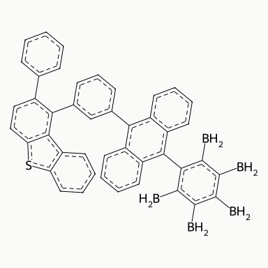 Bc1c(B)c(B)c(-c2c3ccccc3c(-c3cccc(-c4c(-c5ccccc5)ccc5sc6ccccc6c45)c3)c3ccccc23)c(B)c1B